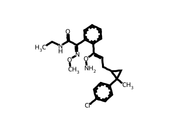 CCNC(=O)C(=NOC)c1ccccc1C(=CCC1CC1(C)c1ccc(Cl)cc1)ON